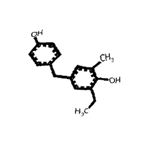 CCc1cc(Cc2ccc(O)cc2)cc(C)c1O